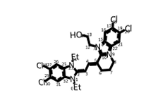 CCN1C(=CC=C2CCCn3c2[n+](CCO)c2cc(Cl)c(Cl)cc23)N(CC)c2cc(Cl)c(Cl)cc21